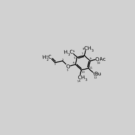 C=CCOc1c(C)c(C)c(OC(C)=O)c(C(C)(C)C)c1C